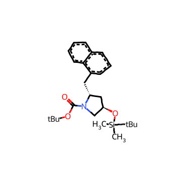 CC(C)(C)OC(=O)N1C[C@H](O[Si](C)(C)C(C)(C)C)C[C@H]1Cc1cccc2ccccc12